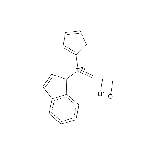 C[O-].C[O-].[CH2]=[Ti+2]([C]1=CC=CC1)[CH]1C=Cc2ccccc21